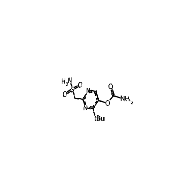 CC(C)(C)c1nc(CS(N)(=O)=O)ncc1OC(N)=O